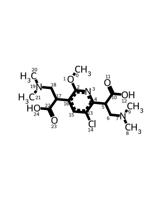 COc1nc(C(CN(C)C)C(=O)O)c(Cl)cc1C(CN(C)C)C(=O)O